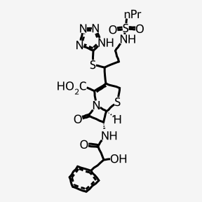 CCCS(=O)(=O)NCCC(Sc1nnn[nH]1)C1=C(C(=O)O)N2C(=O)[C@@H](NC(=O)C(O)c3ccccc3)[C@@H]2SC1